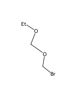 CCOCOCBr